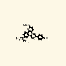 COc1ccc(N2CCOC(c3ccc(C)cc3)C2)c(-c2ccc(N(C)C)cc2)n1